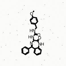 COc1ccc(CNC(=O)NC2N=C(c3ccccc3)c3ccccc3NC2=O)cc1